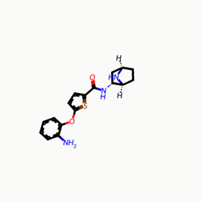 Nc1ccccc1Oc1ccc(C(=O)N[C@@H]2C[C@H]3CC[C@@H]2N3)s1